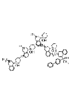 CC(C)N1Cc2ccccc2C(C2(O)CCCCC2)C1.CCCCN1Cc2ccccc2C(C2(O)CCCCC2)C1.CCN1Cc2ccccc2C(C2(O)CCCCC2)C1.CN1Cc2ccccc2C(C(C)(O)c2ccc(-c3ccccc3)cc2)C1.CN1Cc2ccccc2C(C2(O)CCC(C(C)(C)C)CC2)C1